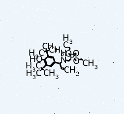 C=CC(NCP(=O)(OCC)OCC)c1cc(C(C)(C)C)c(O)c(C(C)(C)C)c1